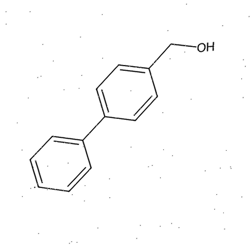 OCc1ccc(-c2cc[c]cc2)cc1